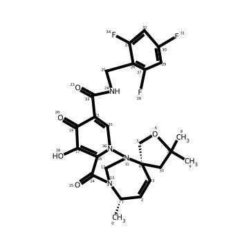 C[C@H]1C=C[C@@]2(COC(C)(C)C2)N2CN1C(=O)c1c(O)c(=O)c(C(=O)NCc3c(F)cc(F)cc3F)cn12